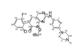 CN1CCN(c2ccc(Nc3ncc4cc(-c5c(F)cccc5Cl)c(=O)n(OC(C)(C)C)c4n3)cc2)CC1